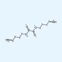 N=CCCCOC(=O)C(=O)OCCCC=N